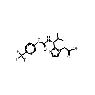 CC(C)[C@H](NC(=O)Nc1ccc(C(F)(F)F)cc1)c1nccn1CC(=O)O